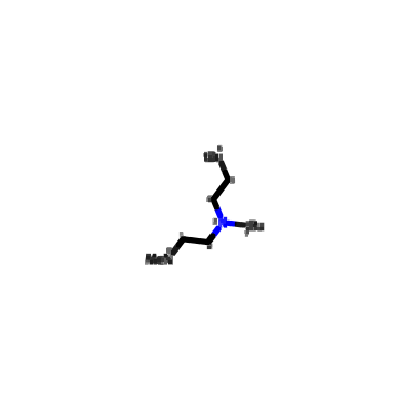 CNCCN(CCC(C)(C)C)C(C)(C)C